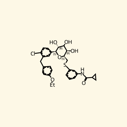 CCOc1ccc(Cc2cc([C@@H]3O[C@H](CSc4cccc(NC(=O)C5CC5)c4)[C@H](O)C(O)[C@H]3O)ccc2Cl)cc1